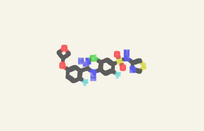 N[C@H](Nc1cc(F)c(S(=O)(=O)Nc2cscn2)cc1Cl)c1cc(OC2COC2)ccc1F